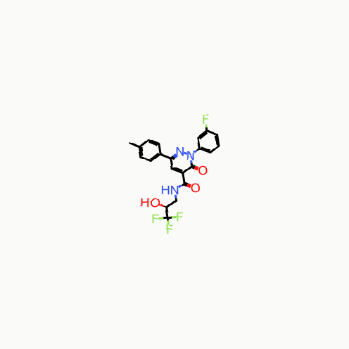 Cc1ccc(-c2cc(C(=O)NC[C@H](O)C(F)(F)F)c(=O)n(-c3cccc(F)c3)n2)cc1